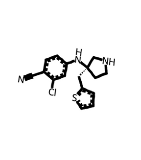 N#Cc1ccc(N[C@]2(Cc3cccs3)CCNC2)cc1Cl